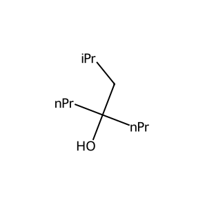 CCCC(O)(CCC)CC(C)C